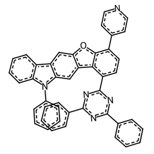 c1ccc(-c2nc(-c3ccccc3)nc(-c3ccc(-c4ccncc4)c4oc5cc6c7ccccc7n(-c7ccccc7)c6cc5c34)n2)cc1